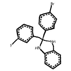 Fc1cccc(C2(c3ccc(Br)cc3)Nc3ccccc3N2)c1